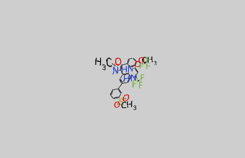 CCO/C(=C/C(=N)C(F)(F)F)Nc1ccc(-c2cccc(S(C)(=O)=O)c2)cc1-c1nc(C)oc1-c1ccc(OC(F)(F)F)cc1